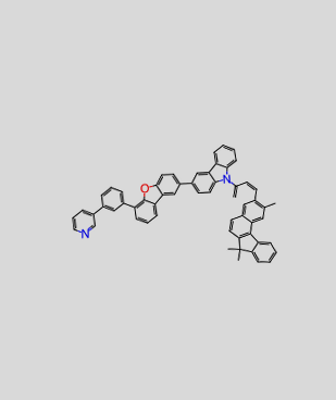 C=C(/C=C\c1cc2ccc3c(c2cc1C)-c1ccccc1C3(C)C)n1c2ccccc2c2cc(-c3ccc4oc5c(-c6cccc(-c7cccnc7)c6)cccc5c4c3)ccc21